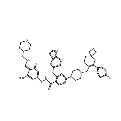 N=C1C=C(SNC(=O)c2ccc(N3CCN(CC4=C(c5ccc(Cl)cc5)CC5(CCC5)CC4)CC3)cc2Oc2cnc3[nH]ccc3c2)C=C([N+](=O)[O-])/C1=C/NCC1CCOCC1